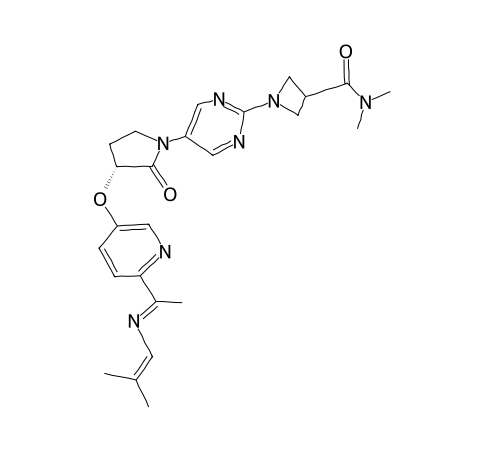 CC(C)=C/N=C(\C)c1ccc(O[C@@H]2CCN(c3cnc(N4CC(C(=O)N(C)C)C4)nc3)C2=O)cn1